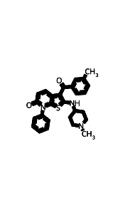 Cc1cccc(C(=O)c2c(NC3CCN(C)CC3)sc3c2ccc(=O)n3-c2ccccc2)c1